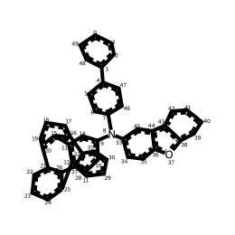 c1ccc(-c2ccc(N(c3ccc4c(c3)-c3c5cccc3-c3cccc-4c3-c3ccccc3-5)c3ccc4oc5ccccc5c4c3)cc2)cc1